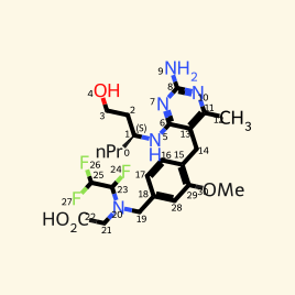 CCC[C@@H](CCO)Nc1nc(N)nc(C)c1Cc1ccc(CN(CC(=O)O)C(F)C(F)F)cc1OC